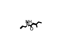 C=CCN(N)C(=O)/C=C(\C)CC